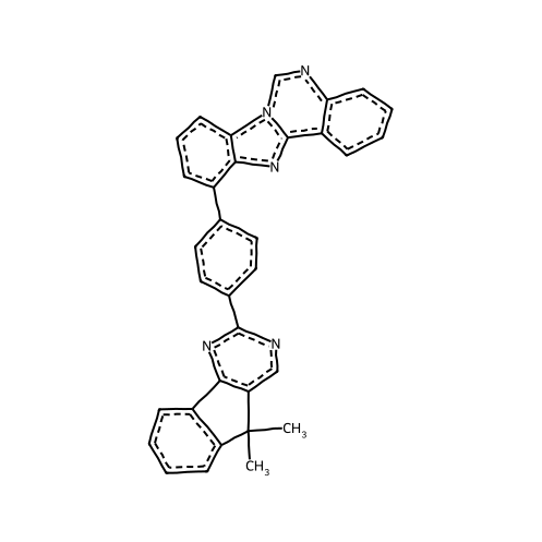 CC1(C)c2ccccc2-c2nc(-c3ccc(-c4cccc5c4nc4c6ccccc6ncn54)cc3)ncc21